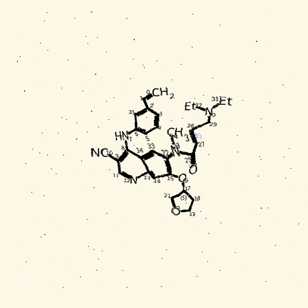 C=Cc1cccc(Nc2c(C#N)cnc3cc(O[C@H]4CCOC4)c(N(C)C(=O)/C=C/CN(CC)CC)cc23)c1